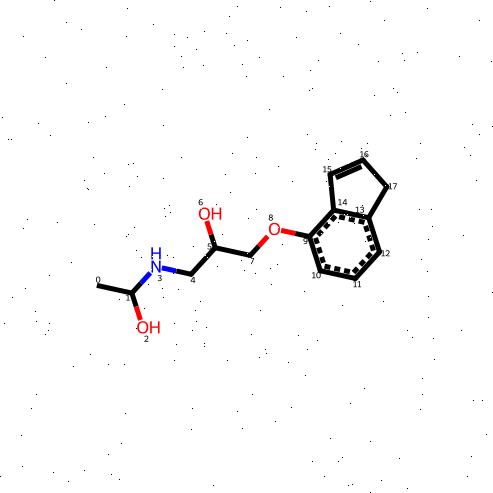 CC(O)NCC(O)COc1cccc2c1C=CC2